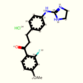 COc1ccc(C(=O)CCc2ccc(NC3=NCCN3)cc2)c(F)c1.Cl